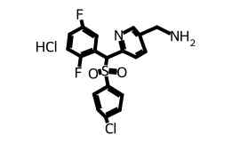 Cl.NCc1ccc(C(c2cc(F)ccc2F)S(=O)(=O)c2ccc(Cl)cc2)nc1